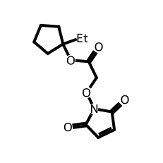 CCC1(OC(=O)CON2C(=O)C=CC2=O)CCCC1